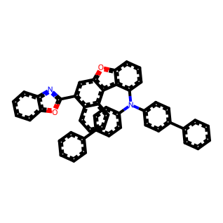 c1ccc(-c2ccc(N(c3ccc(-c4ccccc4)cc3)c3cccc4oc5cc(-c6nc7ccccc7o6)c6ccccc6c5c34)cc2)cc1